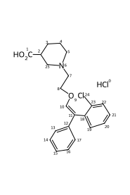 Cl.O=C(O)C1CCCN(CCOC=C(c2ccccc2)c2ccccc2Cl)C1